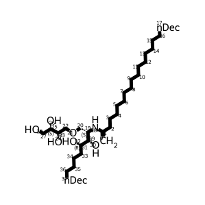 C=C(CCCCCCCCCCCCCCCCCCCCCCCCC)N[C@@H](COC[C@H](O)[C@@H](O)CO)[C@H](O)[C@H](O)CCCCCCCCCCCCCC